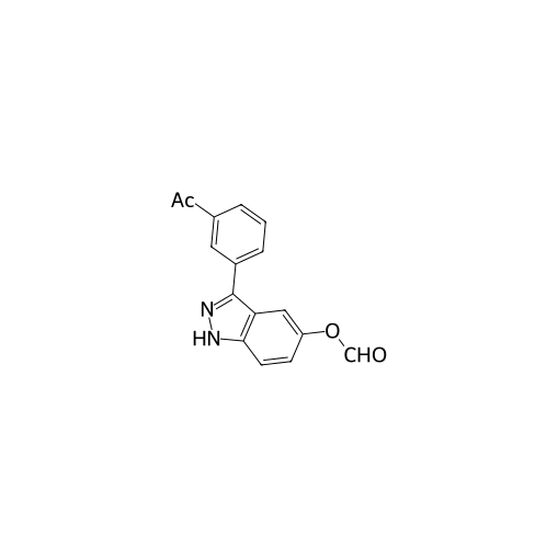 CC(=O)c1cccc(-c2n[nH]c3ccc(OC=O)cc23)c1